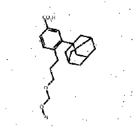 CCOCOCCCc1ccc(C(=O)O)cc1C12CC3CC(CC(C3)C1)C2